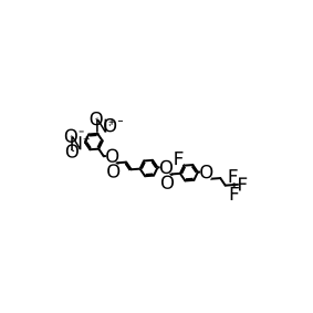 O=C(C=Cc1ccc(OC(=O)c2ccc(OCCCC(F)(F)F)cc2F)cc1)OCc1cc([N+](=O)[O-])cc([N+](=O)[O-])c1